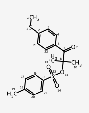 CSc1ccc(C(=O)C(C)(C)OS(=O)(=O)c2ccc(C)cc2)cc1